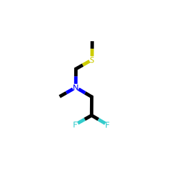 CSCN(C)CC(F)F